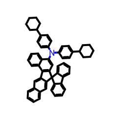 c1ccc2c(c1)-c1ccccc1C21c2cc3ccccc3cc2-c2c1cc(N(c1ccc(C3CCCCC3)cc1)c1ccc(C3CCCCC3)cc1)c1ccccc21